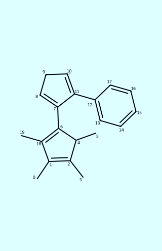 CC1=C(C)C(C)C(C2=CC[C]=C2c2ccccc2)=C1C